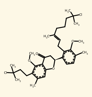 COc1c(C)ccc([C@@H]2CC(=O)c3c(cc(C)c(CCC(C)(C)Cl)c3OC)O2)c1C/C=C(\C)CCCC(C)(C)Cl